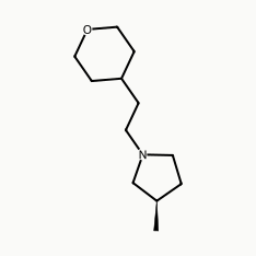 C[C@@H]1CCN(CCC2CCOCC2)C1